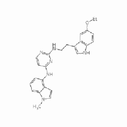 CCOc1ccc2[nH]cc(CCNc3nccc(Nc4cccc5c4ccn5C)n3)c2c1